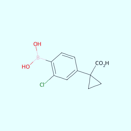 O=C(O)C1(c2ccc(B(O)O)c(Cl)c2)CC1